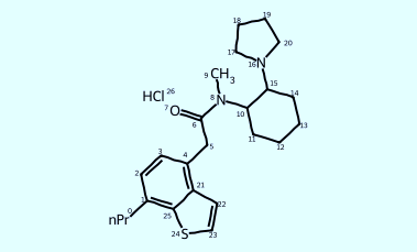 CCCc1ccc(CC(=O)N(C)C2CCCCC2N2CCCC2)c2ccsc12.Cl